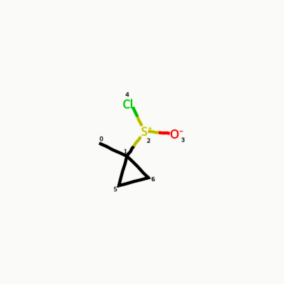 CC1([S+]([O-])Cl)CC1